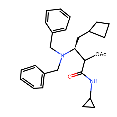 CC(=O)OC(C(=O)NC1CC1)[C@H](CC1CCC1)N(Cc1ccccc1)Cc1ccccc1